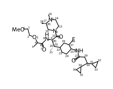 COCCOC(C)C(=O)N[C@@H](C(=O)N1CCN(C)[C@H](C)C1)[C@@H](C)C1CCC(NC(=O)CC(C2CC2)C2CC2)C(F)C1